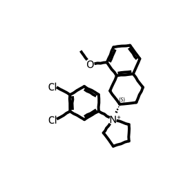 COc1cccc2c1C[C@@H]([N+]1(c3ccc(Cl)c(Cl)c3)CCCC1)CC2